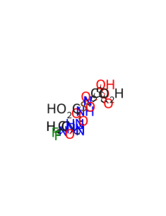 C[C@H](CN1CC(F)(F)C[C@H]1C#N)NC(=O)c1ccnc(CNC(=O)CCC(=O)NC(CSC2CC(=O)N(c3ccc(-c4c5ccc(=O)cc-5oc5cc(O)ccc45)c(C(=O)O)c3)C2=O)C(=O)O)c1